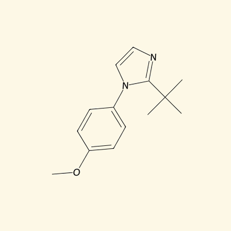 COc1ccc(-n2ccnc2C(C)(C)C)cc1